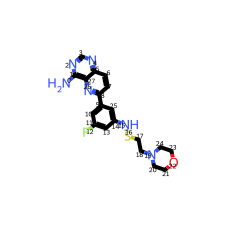 Nc1ncnc2ccc(-c3cc(F)cc(NSCCN4CCOCC4)c3)nc12